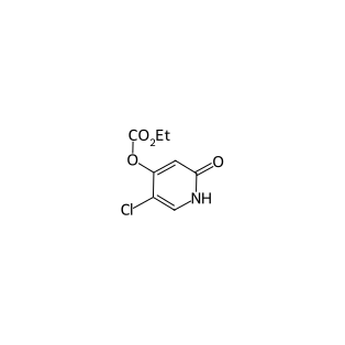 CCOC(=O)Oc1cc(=O)[nH]cc1Cl